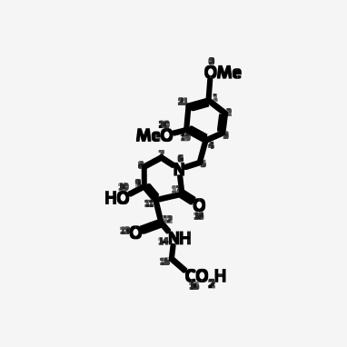 COc1ccc(CN2CCC(O)=C(C(=O)NCC(=O)O)C2=O)c(OC)c1